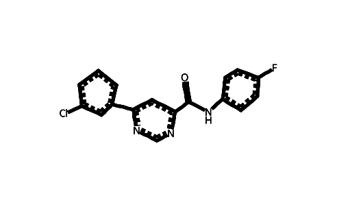 O=C(Nc1ccc(F)cc1)c1cc(-c2cccc(Cl)c2)ncn1